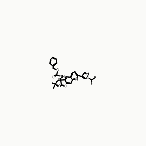 CC(C)(C)C[C@](NC(=O)OCc1ccccc1)(C(=O)O)c1ccc2nc(-c3cnn(C(F)F)c3)ccc2c1